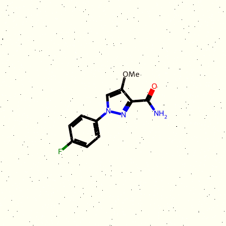 COc1cn(-c2ccc(F)cc2)nc1C(N)=O